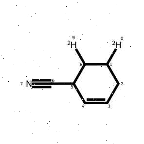 [2H]C1CC=CC(C#N)C1[2H]